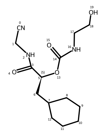 N#CCNC(=O)[C@H](CC1CCCCC1)OC(=O)NCCO